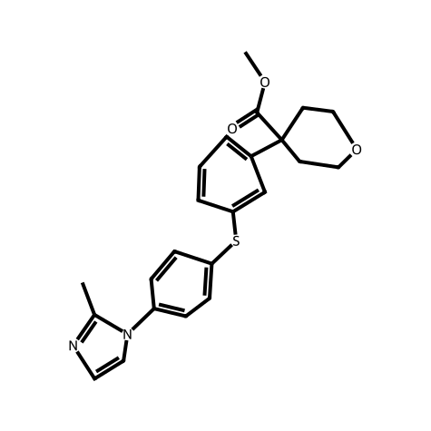 COC(=O)C1(c2cccc(Sc3ccc(-n4ccnc4C)cc3)c2)CCOCC1